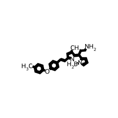 Bn1cccc1/C(CCN)=C1N=C(/C=C/c2ccc(Oc3ccc(C)cc3)cc2)C=C\1C